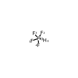 [3H]P(F)(F)(F)F